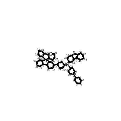 c1ccc(-c2ccc(N(c3ccc(-c4ccc5c(c4)C4(c6ccccc6-c6ccccc64)c4ccccc4-5)cc3)c3ccc4sc5ccccc5c4c3)cc2)cc1